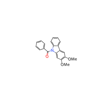 COc1cc2c3ccccc3n(C(=O)c3ccccc3)c2cc1OC